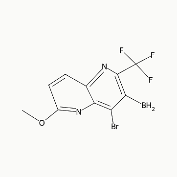 Bc1c(C(F)(F)F)nc2ccc(OC)nc2c1Br